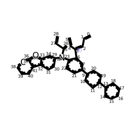 C=C/C=C(\C=C)c1cc(-c2ccc(-c3ccccc3)cc2)ccc1N(C(=C)C=C)c1ccc2c(c1)oc1ccccc12